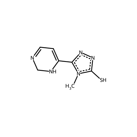 Cn1c(S)nnc1C1=CC=NCN1